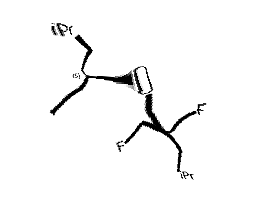 CC(C)[C@H](C)OC(F)(F)C(C)C